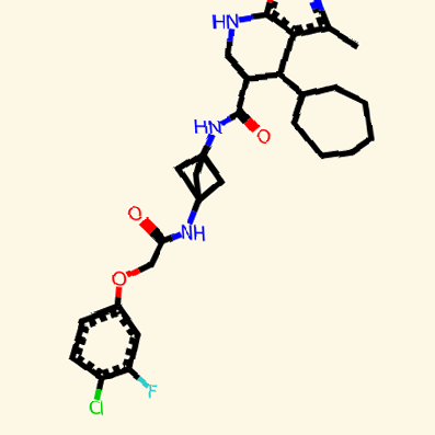 Cc1noc2c1C(C1CCCCCC1)C(C(=O)NC13CC(NC(=O)COc4ccc(Cl)c(F)c4)(C1)C3)CN2